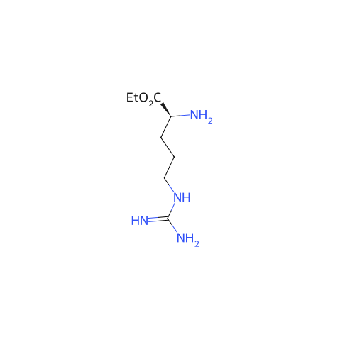 CCOC(=O)[C@@H](N)CCCNC(=N)N